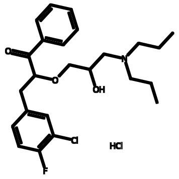 CCCN(CCC)CC(O)COC(Cc1ccc(F)c(Cl)c1)C(=O)c1ccccc1.Cl